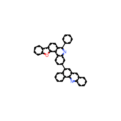 c1ccc(-c2nc3cc(-c4cc5cc6ccccc6nc5c5ccccc45)ccc3c3c2ccc2c4ccccc4oc23)cc1